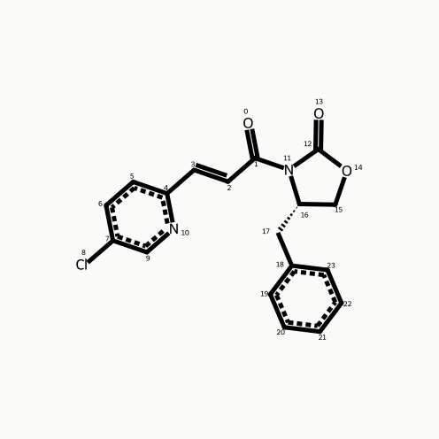 O=C(C=Cc1ccc(Cl)cn1)N1C(=O)OC[C@@H]1Cc1ccccc1